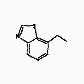 CCc1[c]ccc2ncsc12